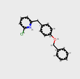 Clc1cccc([CH]c2ccc(OCc3ccccc3)cc2)n1